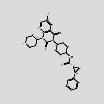 O=C(NC1CCC(n2c(=O)c3cc(F)cnc3n(C3CCSCC3)c2=O)CC1)[C@@H]1C[C@H]1c1ccccc1